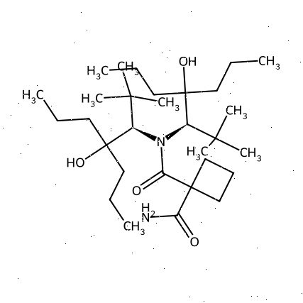 CCCC(O)(CCC)[C@H](N(C(=O)C1(C(N)=O)CCC1)[C@H](C(C)(C)C)C(O)(CCC)CCC)C(C)(C)C